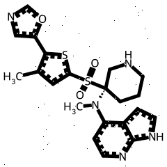 Cc1cc(S(=O)(=O)[C@]2(N(C)c3ccnc4[nH]ccc34)CCCNC2)sc1-c1cnco1